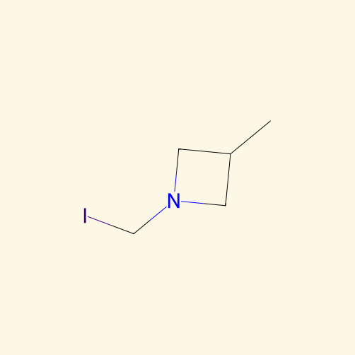 CC1CN(CI)C1